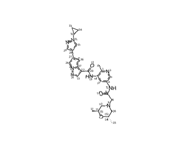 Cc1ncc(NC(=O)CN2C[C@H](C)O[C@@H](C)C2)cc1NC(=O)c1cnn2cc(-c3cnn(C4CC4)c3)sc12